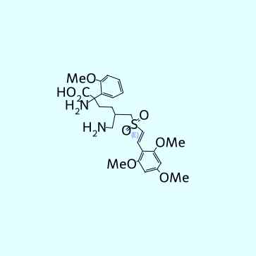 COc1cc(OC)c(/C=C/S(=O)(=O)CC(CN)CCC(N)(C(=O)O)c2ccccc2OC)c(OC)c1